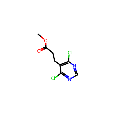 COC(=O)CCc1c(Cl)ncnc1Cl